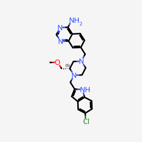 COC[C@@H]1CN(Cc2ccc3c(N)ncnc3c2)CCN1Cc1cc2cc(Cl)ccc2[nH]1